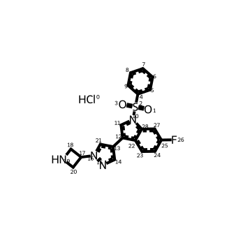 Cl.O=S(=O)(c1ccccc1)n1cc(-c2cnn(C3CNC3)c2)c2ccc(F)cc21